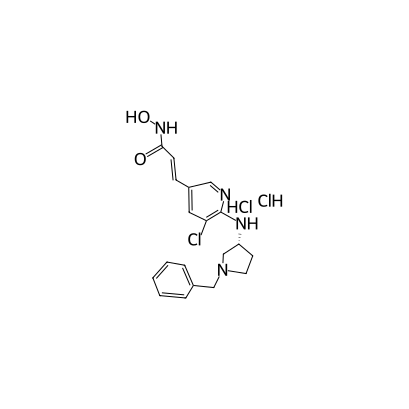 Cl.Cl.O=C(/C=C/c1cnc(N[C@@H]2CCN(Cc3ccccc3)C2)c(Cl)c1)NO